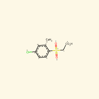 O=C(O)CS(=O)(=O)c1ccc(Cl)cc1.[CaH2]